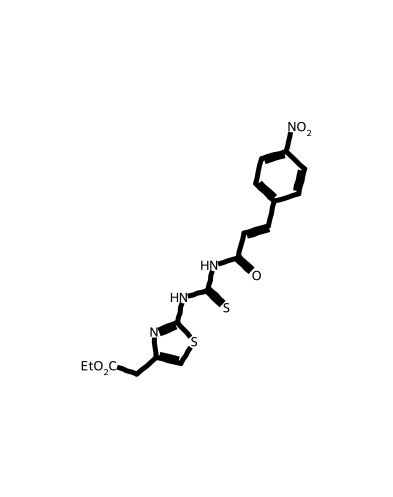 CCOC(=O)Cc1csc(NC(=S)NC(=O)C=Cc2ccc([N+](=O)[O-])cc2)n1